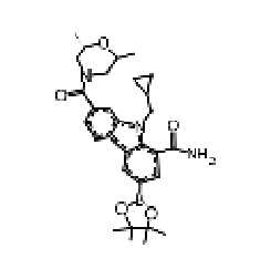 CC1CN(C(=O)c2ccc3c4cc(B5OC(C)(C)C(C)(C)O5)cc(C(N)=O)c4n(CC4CC4)c3c2)C[C@H](C)O1